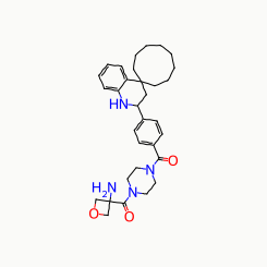 NC1(C(=O)N2CCN(C(=O)c3ccc(C4CC5(CCCCCCCC5)c5ccccc5N4)cc3)CC2)COC1